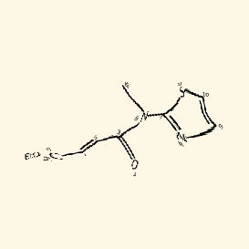 CCOC(=O)/C=C/C(=O)N(C)c1nccs1